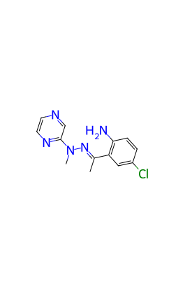 C/C(=N\N(C)c1cnccn1)c1cc(Cl)ccc1N